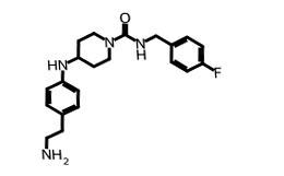 NCCc1ccc(NC2CCN(C(=O)NCc3ccc(F)cc3)CC2)cc1